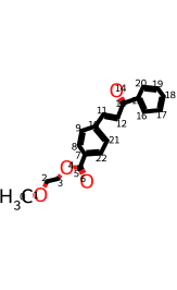 COCCOC(=O)c1ccc(/C=C/C(=O)c2ccccc2)cc1